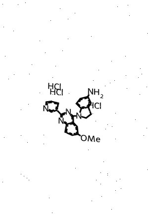 COc1ccc2nc(-c3cccnc3)nc(N3CCc4cc(N)ccc43)c2c1.Cl.Cl.Cl